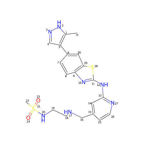 Cc1[nH]ncc1-c1ccc2nc(Nc3cc(CNCCNS(C)(=O)=O)ccn3)sc2c1